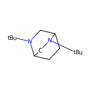 CC(C)(C)N1CC2CCC1CN2C(C)(C)C